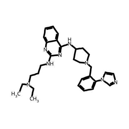 CCN(CC)CCCNc1nc(NC2CCN(Cc3ccccc3-n3ccnc3)CC2)c2ccccc2n1